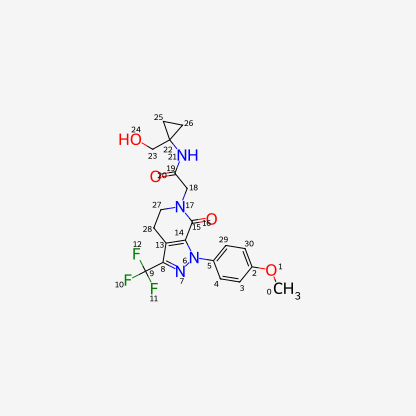 COc1ccc(-n2nc(C(F)(F)F)c3c2C(=O)N(CC(=O)NC2(CO)CC2)CC3)cc1